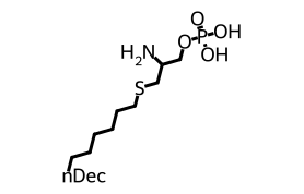 CCCCCCCCCCCCCCCCSCC(N)COP(=O)(O)O